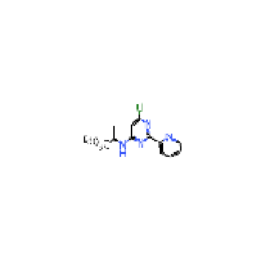 CCOC(=O)C(C)Nc1cc(Cl)nc(-c2ccccn2)n1